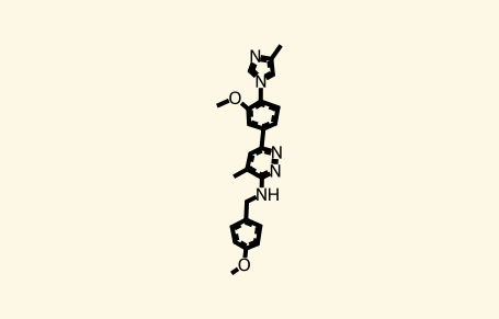 COc1ccc(CNc2nnc(-c3ccc(-n4cnc(C)c4)c(OC)c3)cc2C)cc1